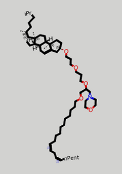 CCCCC/C=C\C/C=C\CCCCCCCCCCOCC(CN1CCOCC1)OCCCOCCCO[C@H]1CC[C@@]2(C)C(=CC[C@H]3[C@@H]4CC[C@H]([C@H](C)CCCC(C)C)[C@@]4(C)CC[C@@H]32)C1